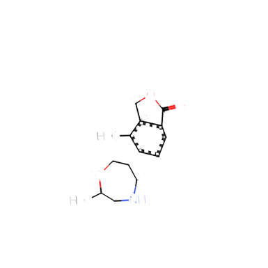 Cc1c([C@@H]2CNCC(C)OC2)ccc2c1COC2=O